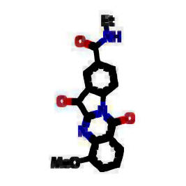 CCNC(=O)c1ccc2c(c1)C(=O)c1nc3c(OC)cccc3c(=O)n1-2